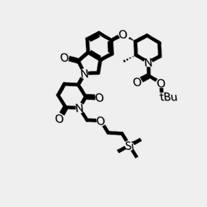 C[C@@H]1[C@H](Oc2ccc3c(c2)CN(C2CCC(=O)N(COCC[Si](C)(C)C)C2=O)C3=O)CCCN1C(=O)OC(C)(C)C